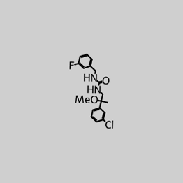 COC(C)(CNC(=O)NCc1cccc(F)c1)c1cccc(Cl)c1